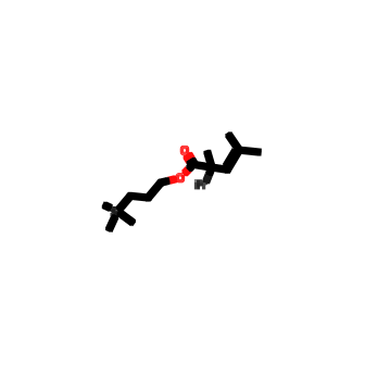 CC(C)=CC(C)(C(=O)OCCC[Si](C)(C)C)C(C)C